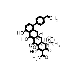 C=Cc1ccc(-c2ccc(O)c3c2C[C@H]2C[C@H]4[C@H](N(C)C)C(=O)C(C(N)=O)=C(O)[C@@]4(O)C(=O)C2=C3O)cc1